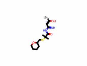 CC(C)(SCC1CCCCO1)C(=O)NC(=N)/C=C(\O)C(C)(C)C